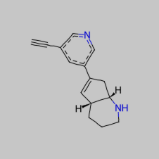 C#Cc1cncc(C2=C[C@H]3CCCN[C@H]3C2)c1